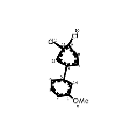 COc1cc[c]c(-c2ccc(Cl)c(Cl)c2)c1